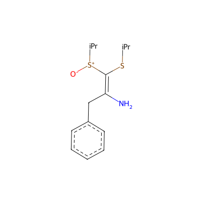 CC(C)SC(=C(N)Cc1ccccc1)[S+]([O-])C(C)C